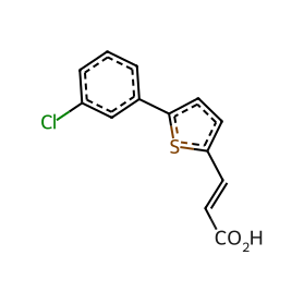 O=C(O)C=Cc1ccc(-c2cccc(Cl)c2)s1